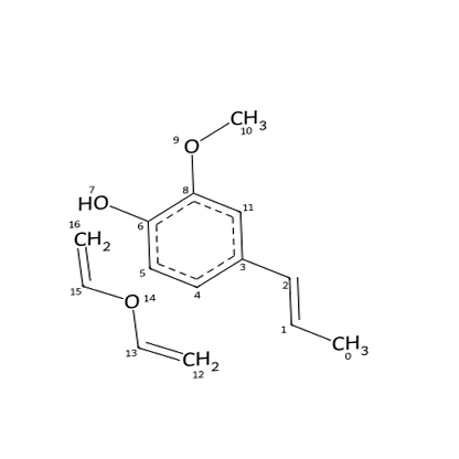 C/C=C/c1ccc(O)c(OC)c1.C=COC=C